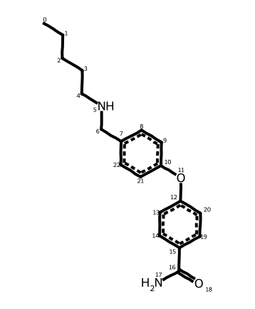 CCCCCNCc1ccc(Oc2ccc(C(N)=O)cc2)cc1